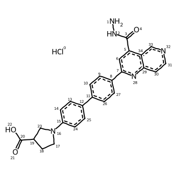 Cl.NNC(=O)c1cc(-c2ccc(-c3ccc(N4CCC(C(=O)O)C4)cc3)cc2)nc2ccncc12